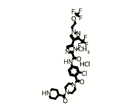 Cl.Cn1c(-c2cn(CCOC(F)(F)F)nc2C(F)(F)F)cnc1C(=O)Nc1ccc(C(=O)N2CCN(C(=O)C3CCNCC3)CC2)c(Cl)c1